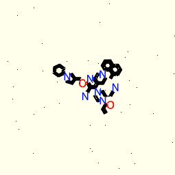 C=CC(=O)N1CCN(c2c(C#N)c(OCC3CCN(C4CCCCC4)C3)nc3c2CCN(c2cccc4cccc(C)c24)C3)C[C@@H]1CC#N